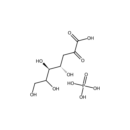 O=C(O)C(=O)C[C@H](O)[C@H](O)C(O)CO.O=P(O)(O)O